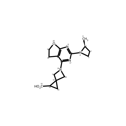 C[C@H]1CCN1c1nc2c(c(N3CC4(CC4C(=O)O)C3)n1)CCO2